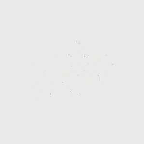 CN1C(=O)[C@]2(N=C1N)c1cc(-c3cc(F)cc(Cl)c3)ccc1O[C@H]1CCCO[C@@]12C